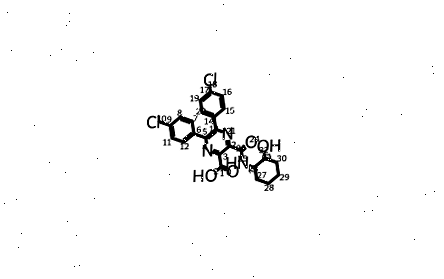 O=C(O)c1nc(-c2ccc(Cl)cc2)c(-c2ccc(Cl)cc2)nc1C(=O)N[C@H]1CCCC[C@@H]1O